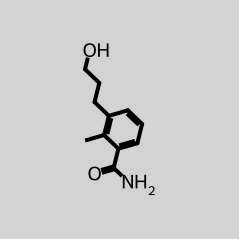 Cc1c(CCCO)cccc1C(N)=O